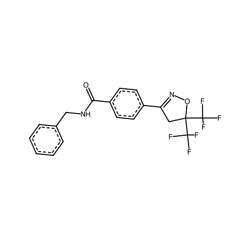 O=C(NCc1ccccc1)c1ccc(C2=NOC(C(F)(F)F)(C(F)(F)F)C2)cc1